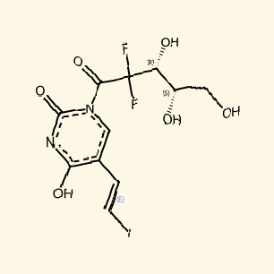 O=C(n1cc(/C=C/I)c(O)nc1=O)C(F)(F)[C@H](O)[C@@H](O)CO